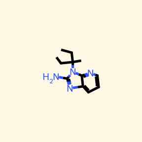 CCC(C)(CC)n1c(N)nc2cccnc21